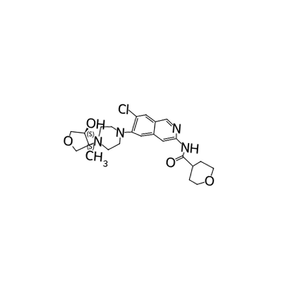 C[C@]1(N2CCN(c3cc4cc(NC(=O)C5CCOCC5)ncc4cc3Cl)CC2)COC[C@H]1O